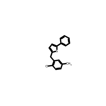 Cc1ccc(Cl)c(Cc2ccc(-c3ccccc3)s2)c1